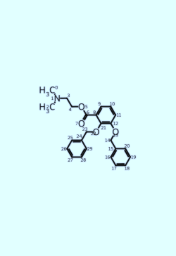 CN(C)CCOC(=O)c1cccc(OCc2ccccc2)c1OCc1ccccc1